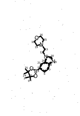 CC1(C)OB(c2ccc3ncn(CCN4CCOCC4)c3c2)OC1(C)C